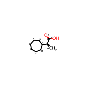 C=C(C(=O)O)C1CCCCCC1